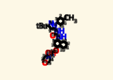 Cc1ccc(-n2nc(C(C)(C)C)cc2NC(=O)Nc2ccc(OCC[N+]3(O)CCOCC3)c3ccccc23)cc1